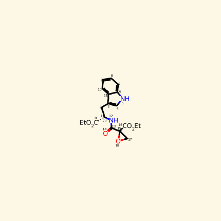 CCOC(=O)[C@H](Cc1c[nH]c2ccccc12)NC(=O)C1(C(=O)OCC)CO1